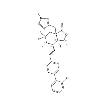 C[C@H]1OC(=O)C2(Cc3nnn(C)n3)CC(F)(F)[C@@H](C)[C@H](/C=C/c3ccc(-c4ccccc4Cl)cn3)[C@H]12